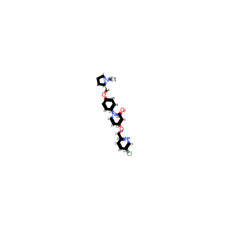 CCN1CCC[C@H]1COc1ccc(-n2ccc(OCc3ccc(Cl)cn3)cc2=O)cc1